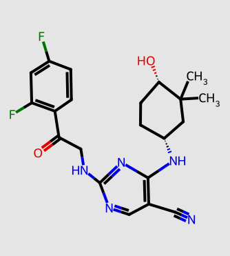 CC1(C)C[C@H](Nc2nc(NCC(=O)c3ccc(F)cc3F)ncc2C#N)CC[C@@H]1O